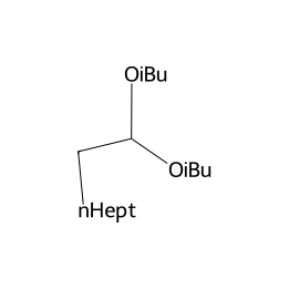 CCCCCCCCC(OCC(C)C)OCC(C)C